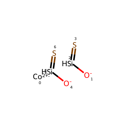 [Co+2].[O-][SiH]=S.[O-][SiH]=S